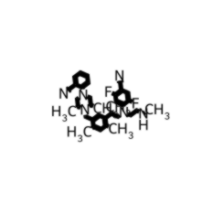 CNCCN(CC(C)c1cc(CN2C(C)CN(c3ccccc3C#N)CC2C)c(C)cc1C)c1cc(F)c(C#N)cc1F